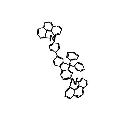 c1ccc(C2(c3ccccc3)c3cc(-c4ccc(-n5c6cccc7ccc8cccc5c8c76)cc4)ccc3-c3ccc(-n4c5cccc6ccc7cccc4c7c65)cc32)cc1